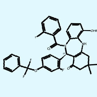 CC1(C)CC(=O)C2=C(C1)Nc1c(O)cccc1N(C(=O)c1ccccc1F)[C@@H]2c1ccc(OC(F)(F)c2ccccc2)cc1F